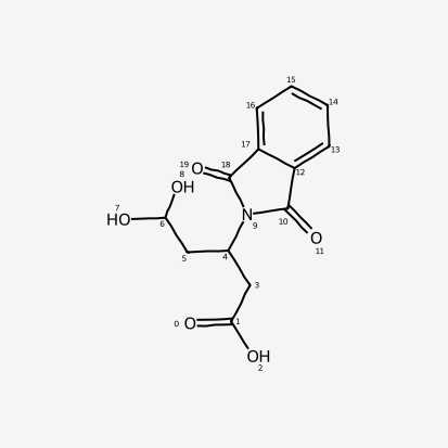 O=C(O)CC(CC(O)O)N1C(=O)c2ccccc2C1=O